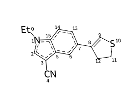 CCn1cc(C#N)c2cc(C3=CSCC3)ccc21